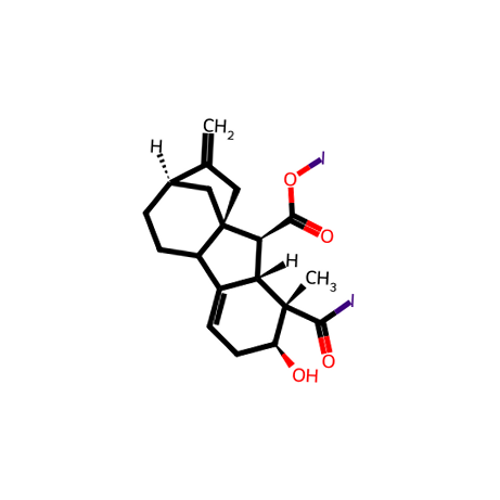 C=C1C[C@]23C[C@H]1CCC2C1=CC[C@H](O)[C@@](C)(C(=O)I)[C@H]1[C@@H]3C(=O)OI